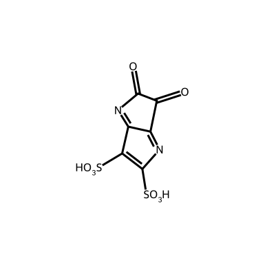 O=c1nc2c(S(=O)(=O)O)c(S(=O)(=O)O)nc-2c1=O